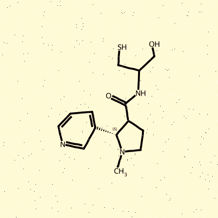 CN1CCC(C(=O)NC(CO)CS)[C@H]1c1cccnc1